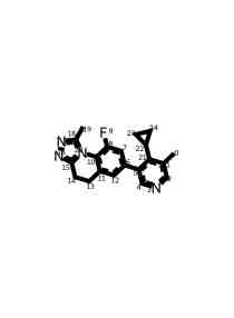 Cc1cncc(-c2cc(F)c3c(c2)CCc2nnc(C)n2-3)c1C1CC1